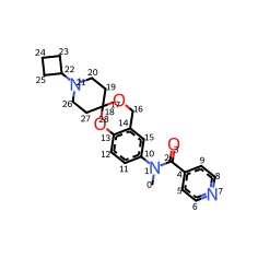 CN(C(=O)c1ccncc1)c1ccc2c(c1)COC1(CCN(C3CCC3)CC1)O2